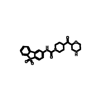 O=C(C1CCN(C(=O)Nc2ccc3c(c2)-c2ccccc2S3(=O)=O)CC1)C1CNCCO1